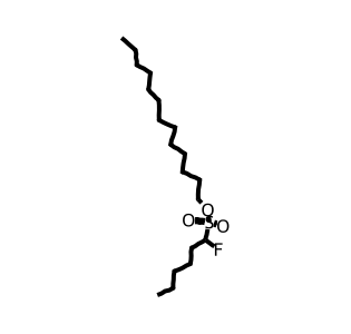 CCCCCCCCCCCCCOS(=O)(=O)C(F)CCCCC